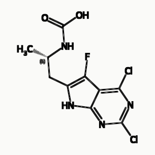 C[C@@H](Cc1[nH]c2nc(Cl)nc(Cl)c2c1F)NC(=O)O